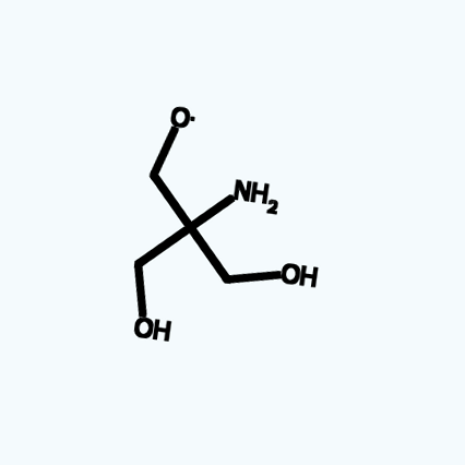 NC(C[O])(CO)CO